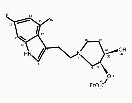 CCOC(=O)O[C@H]1CN(CCc2c[nH]c3cc(C)cc(C)c23)CC[C@H]1O